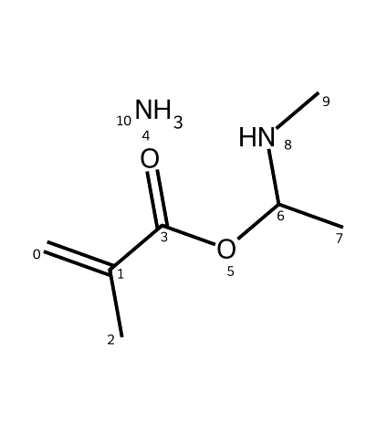 C=C(C)C(=O)OC(C)NC.N